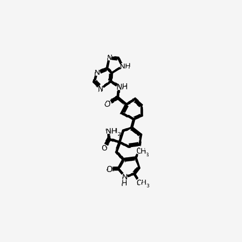 Cc1cc(C)c(CC2(C(N)=O)C=CC=C(c3cccc(C(=O)Nc4ncnc5nc[nH]c45)c3)C2)c(=O)[nH]1